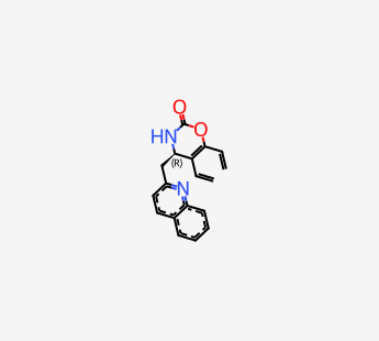 C=CC1=C(C=C)[C@@H](Cc2ccc3ccccc3n2)NC(=O)O1